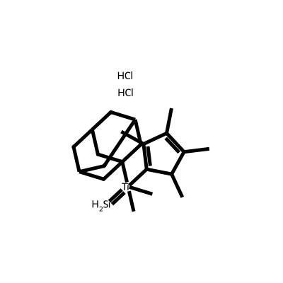 CC1=C(C)C(C)[C]([Ti]([CH3])([CH3])(=[SiH2])[C]23CC4CC(CC(C4)C2)C3)=C1C.Cl.Cl